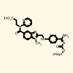 CCCCCCCOC(=O)/N=C(/N)c1ccc(NCc2nc3cc(C(=O)N(CCC(=O)OCC)c4ccccn4)ccc3n2C)cc1